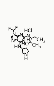 CC[C@H](Nc1nc(N[C@H]2CCNC2)c2ncn(C(F)F)c2n1)[C@@H](C)O.Cl